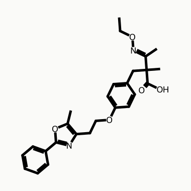 CCON=C(C)C(C)(Cc1ccc(OCCc2nc(-c3ccccc3)oc2C)cc1)C(=O)O